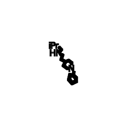 CC(C)CNCCC1CCN(Cc2ccccc2)CC1